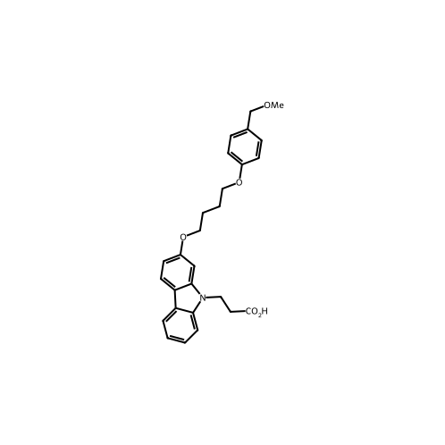 COCc1ccc(OCCCCOc2ccc3c4ccccc4n(CCC(=O)O)c3c2)cc1